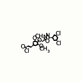 COc1cc(C=CC(=O)Cl)cc(OC)c1OCc1nnc(-c2cc(Cl)cc(Cl)c2)o1